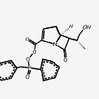 C[C@@H](O)C1C(=O)N2C(C(=O)OOP(=O)(c3ccccc3)c3ccccc3)=CC[C@@H]12